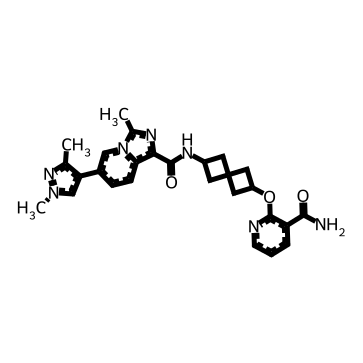 Cc1nn(C)cc1-c1ccc2c(C(=O)NC3CC4(C3)CC(Oc3ncccc3C(N)=O)C4)nc(C)n2c1